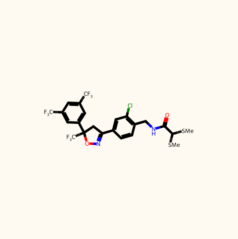 CSC(SC)C(=O)NCc1ccc(C2=NOC(c3cc(C(F)(F)F)cc(C(F)(F)F)c3)(C(F)(F)F)C2)cc1Cl